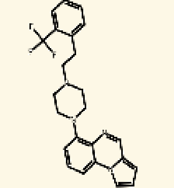 FC(F)(F)c1ccccc1CCN1CCN(c2cccc3c2ncc2cccn23)CC1